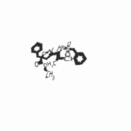 CCOC(=O)C1(Cc2ccccc2)CC([C@@H](NS(=O)(=O)Cc2ccccc2)C(C)C)=NO1